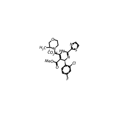 COC(=O)C1=C(CN2CCOC[C@@]2(C)C(=O)O)NC(c2nccs2)=N[C@H]1c1ccc(F)cc1Cl